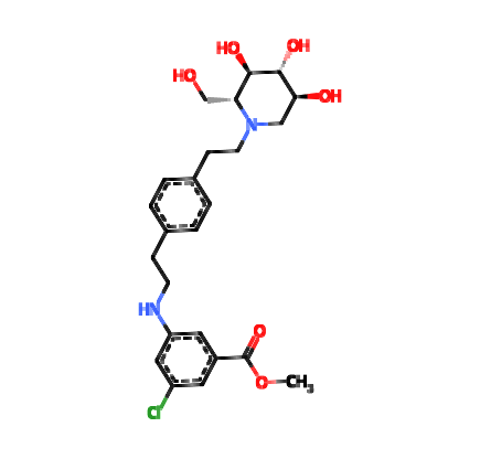 COC(=O)c1cc(Cl)cc(NCCc2ccc(CCN3C[C@H](O)[C@@H](O)[C@H](O)[C@H]3CO)cc2)c1